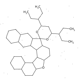 CCC(CC)C1CC(C(CC)CC)OC2(O1)C1CC3CCCCC3CC1C1C3C(CCC12)OC1CCC2CCCCC2C13